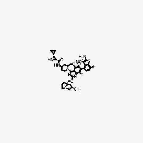 C[C@H]1CN2CCC[C@@]2(COc2nc3c4c(c(Cl)c(-c5ccc(F)c6sc(N)c(C#N)c56)c(F)c4n2)OCC2CC(NC(=O)[C@@H]4N[C@H]4C4CC4)CCN32)C1